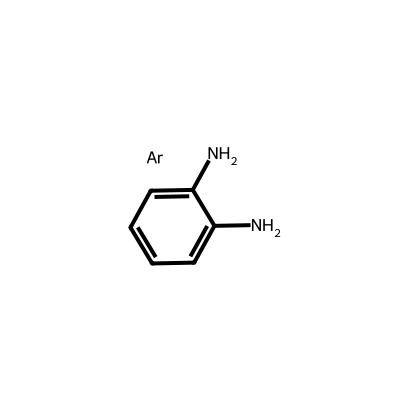 Nc1ccccc1N.[Ar]